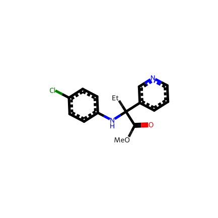 CCC(Nc1ccc(Cl)cc1)(C(=O)OC)c1cccnc1